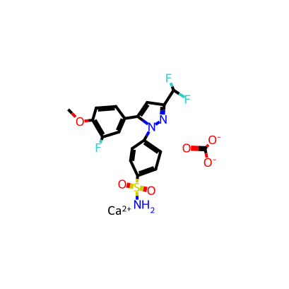 COc1ccc(-c2cc(C(F)F)nn2-c2ccc(S(N)(=O)=O)cc2)cc1F.O=C([O-])[O-].[Ca+2]